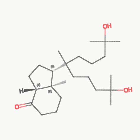 CC(C)(O)CCCC(C)(CCCC(C)(C)O)[C@H]1CC[C@H]2C(=O)CCC[C@]12C